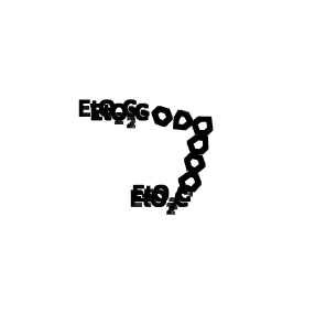 C1CCCCC1.C1CCCCC1.C1CCCCC1.C1CCCCC1.C1CCCCC1.C1CCCCC1.CCOC(C)=O.CCOC(C)=O.CCOC(C)=O.CCOC(C)=O